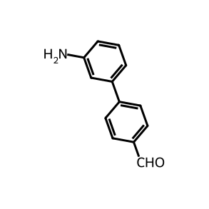 Nc1cccc(-c2ccc(C=O)cc2)c1